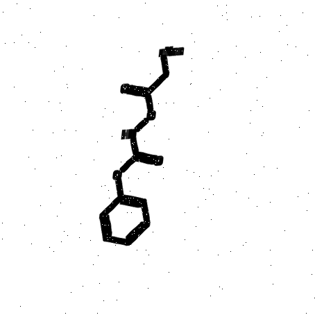 CCCCCCCCCCC(=O)ONC(=O)Oc1ccccc1